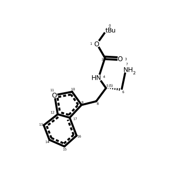 CC(C)(C)OC(=O)N[C@H](CN)Cc1coc2ccccc12